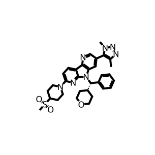 Cc1nnn(C)c1-c1cnc2c3ccc(N4CCC(S(C)(=O)=O)CC4)nc3n([C@H](c3ccccc3)C3CCOCC3)c2c1